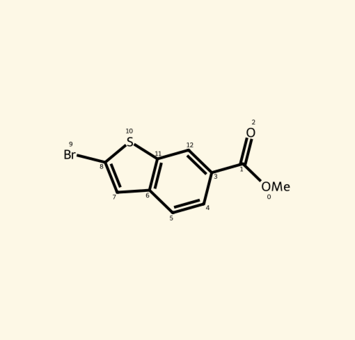 COC(=O)c1ccc2cc(Br)sc2c1